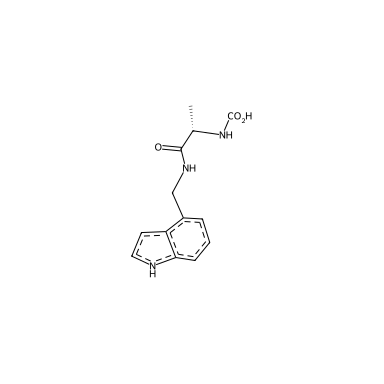 C[C@H](NC(=O)O)C(=O)NCc1cccc2[nH]ccc12